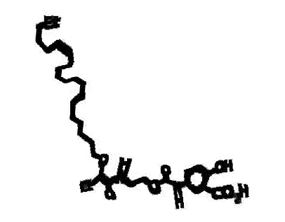 CC/C=C\C/C=C\C/C=C\C/C=C\C/C=C\CCCCOC(CC)C(=O)NCCOC(=O)Nc1ccc(O)c(C(=O)O)c1